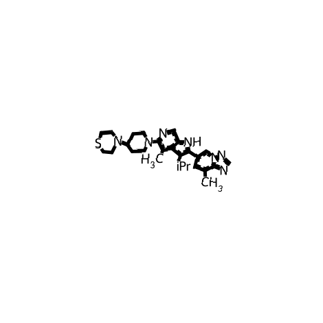 Cc1c(N2CCC(N3CCSCC3)CC2)ncc2[nH]c(-c3cc(C)c4ncnn4c3)c(C(C)C)c12